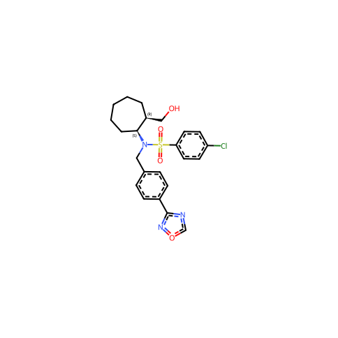 O=S(=O)(c1ccc(Cl)cc1)N(Cc1ccc(-c2ncon2)cc1)[C@H]1CCCCC[C@H]1CO